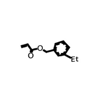 C=CC(=O)OCc1cccc(CC)c1